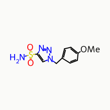 COc1ccc(Cn2cc(S(N)(=O)=O)nn2)cc1